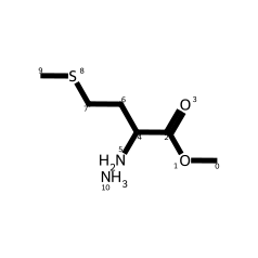 COC(=O)C(N)CCSC.N